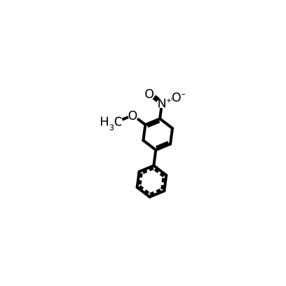 COC1=C([N+](=O)[O-])CC=C(c2ccccc2)C1